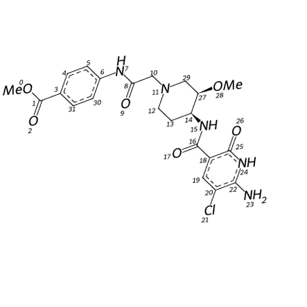 COC(=O)c1ccc(NC(=O)CN2CC[C@H](NC(=O)c3cc(Cl)c(N)[nH]c3=O)[C@H](OC)C2)cc1